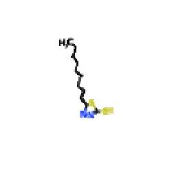 CCCCCCCCCc1nnc(S)s1